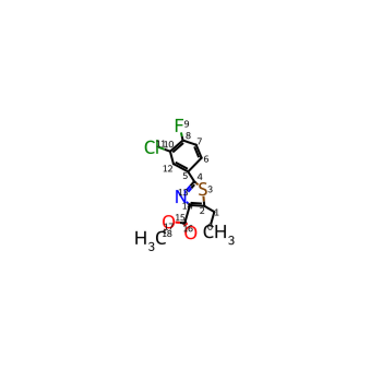 CCc1sc(-c2ccc(F)c(Cl)c2)nc1C(=O)OC